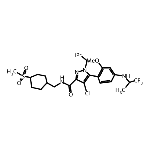 COc1cc(NC(C)C(F)(F)F)ccc1-c1c(Cl)c(C(=O)NCC2CCC(S(C)(=O)=O)CC2)nn1CC(C)C